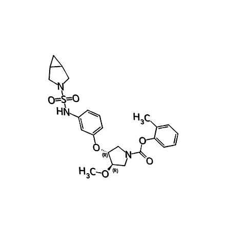 CO[C@@H]1CN(C(=O)Oc2ccccc2C)C[C@H]1Oc1cccc(NS(=O)(=O)N2CC3CC3C2)c1